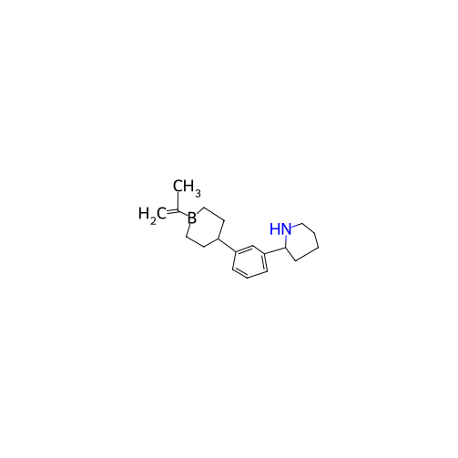 C=C(C)B1CCC(c2cccc(C3CCCCN3)c2)CC1